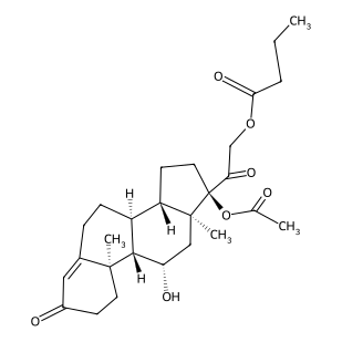 CCCC(=O)OCC(=O)[C@@]1(OC(C)=O)CC[C@H]2[C@@H]3CCC4=CC(=O)CC[C@]4(C)[C@H]3[C@@H](O)C[C@@]21C